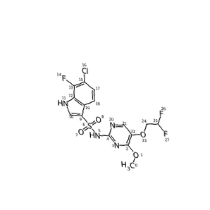 COc1nc(NS(=O)(=O)c2c[nH]c3c(F)c(Cl)ccc23)ncc1OCC(F)F